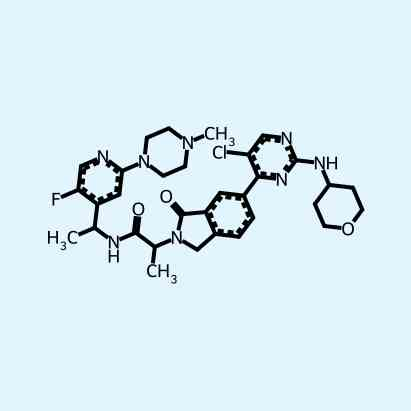 CC(NC(=O)C(C)N1Cc2ccc(-c3nc(NC4CCOCC4)ncc3Cl)cc2C1=O)c1cc(N2CCN(C)CC2)ncc1F